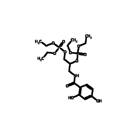 CCOP(=O)(OCC)OCC(CNC(=O)c1ccc(O)cc1O)OP(=O)(OCC)OCC